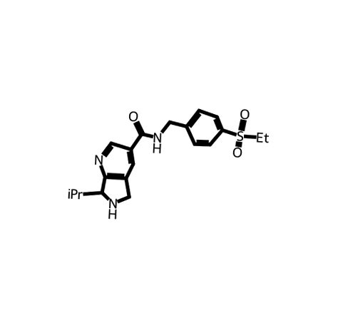 CCS(=O)(=O)c1ccc(CNC(=O)c2cnc3c(c2)CNC3C(C)C)cc1